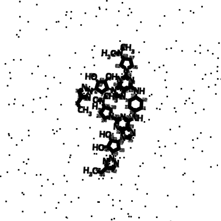 CCc1cnn([C@H]2C[C@@H](n3cnc4c(N[C@H]5CC[C@@H](Nc6nc(N7CCC(N(C)C)C7)nc7c6ncn7[C@@H]6C[C@H](n7ncc(CC)n7)[C@@H](O)[C@H]6O)CC5)nc(N5CCC(N(C)C)C5)nc43)[C@H](O)[C@@H]2O)n1